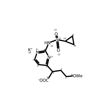 COCCC(C(=O)[O-])c1ccnc(NS(=O)(=O)C2CC2)n1.[K+]